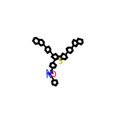 c1ccc(-c2nnc(-c3ccc(-c4cc(-c5ccc(-c6ccc7ccccc7c6)cc5)cc5c4sc4ccc(-c6ccc(-c7ccc8ccccc8c7)cc6)cc45)cc3)o2)cc1